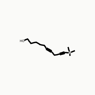 C[Si](C)(C)C#CCC#CCCCCCO